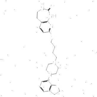 O=C1NCCc2ccc(OCCCCN3CCN(c4cccc5c4OCC5)CC3)nc2N1